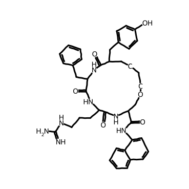 N=C(N)NCCCC1NC(=O)C(Cc2ccccc2)NC(=O)C(Cc2ccc(O)cc2)CCCCOCC(C(=O)Nc2cccc3ccccc23)NC1=O